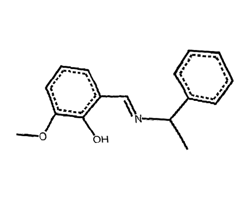 COc1cccc(C=NC(C)c2ccccc2)c1O